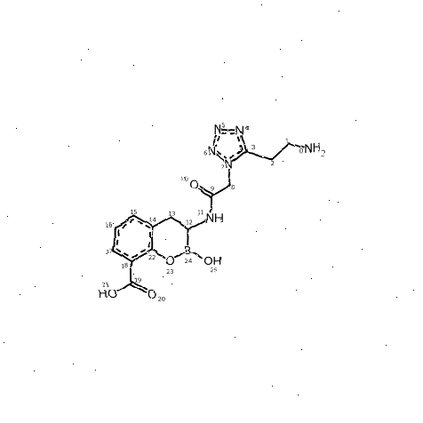 NCCc1nnnn1CC(=O)NC1Cc2cccc(C(=O)O)c2OB1O